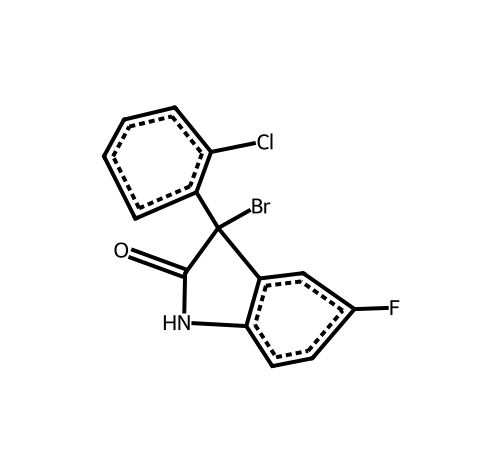 O=C1Nc2ccc(F)cc2C1(Br)c1ccccc1Cl